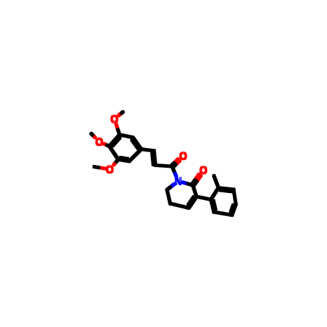 COc1cc(/C=C/C(=O)N2CCC=C(c3ccccc3C)C2=O)cc(OC)c1OC